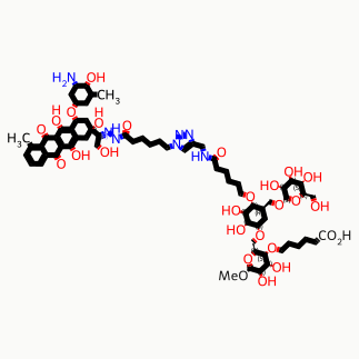 CO[C@H]1O[C@H](CO[C@H]2C[C@H](CO[C@H]3O[C@H](CO)[C@@H](O)[C@H](O)[C@H]3O)[C@@H](OCCCCCC(=O)NCc3cn(CCCCCC(=O)N/N=C(\CO)[C@]4(O)Cc5c(O)c6c(c(O)c5C(OC5CC(C)C(O)C(N)C5)C4)C(=O)c4c(C)cccc4C6=O)nn3)[C@H](O)[C@H]2O)[C@@H](OCCCCCC(=O)O)[C@H](O)[C@H]1O